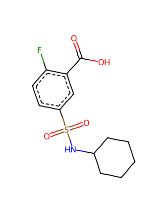 O=C(O)c1cc(S(=O)(=O)NC2CCCCC2)ccc1F